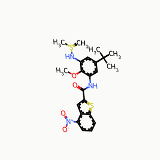 C=S(C)Nc1cc(C(C)(C)C)cc(NC(=O)c2cc3c([N+](=O)[O-])cccc3s2)c1OC